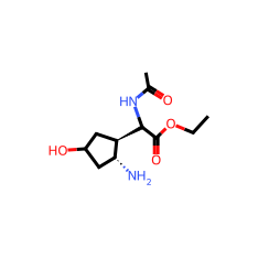 CCOC(=O)C(NC(C)=O)[C@@H]1CC(O)C[C@H]1N